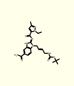 CCn1nc(C)cc1C(=O)/N=c1\[nH]c2cc(C(N)=O)ccc2n1C/C=C/CNC(=O)OC(C)(C)C